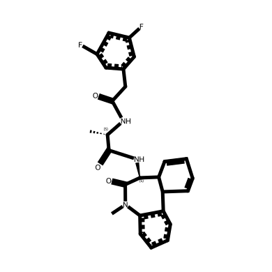 C[C@H](NC(=O)Cc1cc(F)cc(F)c1)C(=O)N[C@@H]1C(=O)N(C)c2ccccc2C2C=CC=CC21